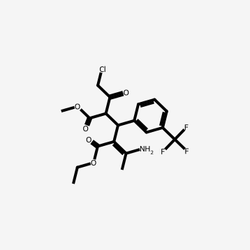 CCOC(=O)/C(=C(\C)N)C(c1cccc(C(F)(F)F)c1)C(C(=O)CCl)C(=O)OC